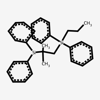 CCC[Si](CC(C)(C)[Si](c1ccccc1)c1ccccc1)(c1ccccc1)c1ccccc1